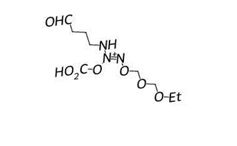 CCOCOCON=[N+](NCCCC=O)OC(=O)O